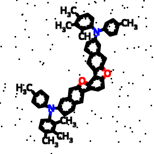 Cc1ccc(N(c2ccc3cc4c(cc3c2)oc2c4ccc3oc4cc5cc(N(c6ccc(C)cc6)c6ccc(C)c(C)c6C)ccc5cc4c32)c2ccc(C)c(C)c2C)cc1